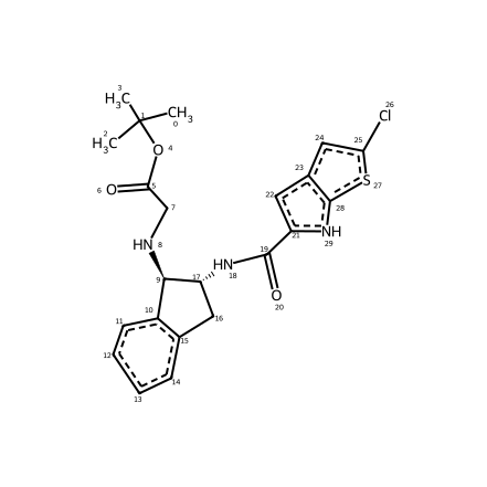 CC(C)(C)OC(=O)CN[C@@H]1c2ccccc2C[C@H]1NC(=O)c1cc2cc(Cl)sc2[nH]1